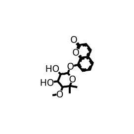 COC1C(O)C(O)C(Oc2cccc3ccc(=O)oc23)OC1(C)C